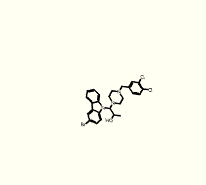 CC(O)C(N1CCN(Cc2ccc(Cl)c(Cl)c2)CC1)n1c2ccccc2c2cc(Br)ccc21